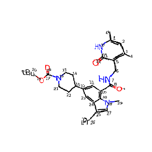 Cc1cc(C)c(CNC(=O)c2cc(C3CCN(C(=O)OC(C)(C)C)CC3)cc3c(C(C)C)cn(C)c23)c(=O)[nH]1